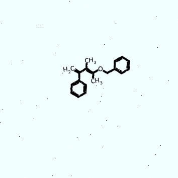 C=C(/C(C)=C(\C)OCc1ccccc1)c1ccccc1